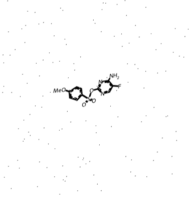 COc1ccc(S(=O)(=O)Oc2ncc(F)c(N)n2)cc1